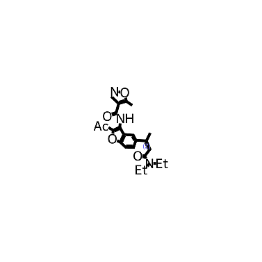 CCN(CC)C(=O)/C=C(/C)c1ccc2oc(C(C)=O)c(NC(=O)c3cnoc3C)c2c1